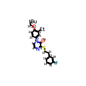 CCc1cc(-n2ccnc(SCCc3cccc(F)c3)c2=O)ccc1OCC(C)(C)C